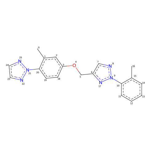 Cc1cc(OCc2cnn(-c3ccccc3C)n2)ccc1-n1nccn1